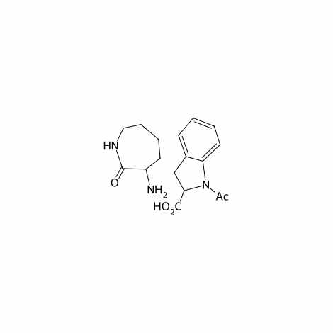 CC(=O)N1c2ccccc2CC1C(=O)O.NC1CCCCNC1=O